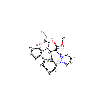 CCC(=O)CC(c1ccccc1)C(c1ccccc1)C(C(=O)OC)N1CC=CC=N1